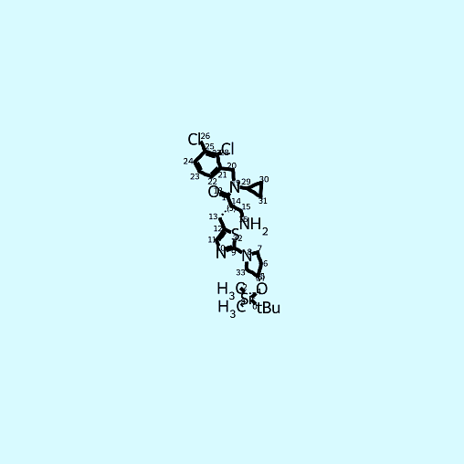 CC(C)(C)[Si](C)(C)O[C@H]1CCN(c2ncc(C[C@@H](CN)C(=O)N(Cc3cccc(Cl)c3Cl)C3CC3)s2)C1